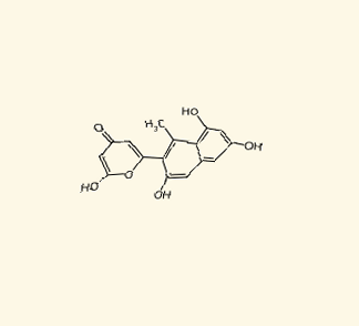 Cc1c(-c2cc(=O)cc(O)o2)c(O)cc2cc(O)cc(O)c12